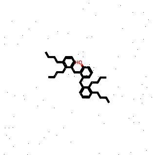 CCCCc1cccc(Cc2cccc(O)c2Cc2cccc(CCCC)c2CCCC)c1CCCC